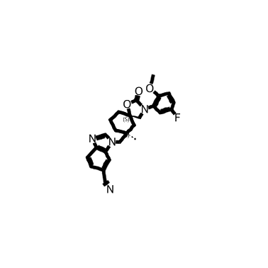 COc1ccc(F)cc1N1C[C@@]2(CCC[C@](C)(Cn3cnc4ccc(C#N)cc43)C2)OC1=O